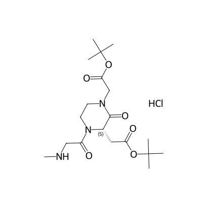 CNCC(=O)N1CCN(CC(=O)OC(C)(C)C)C(=O)[C@@H]1CC(=O)OC(C)(C)C.Cl